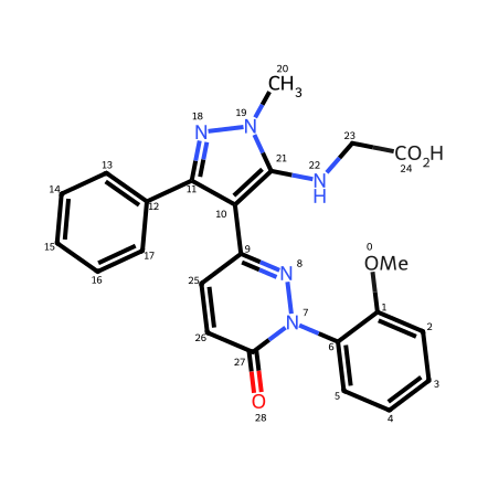 COc1ccccc1-n1nc(-c2c(-c3ccccc3)nn(C)c2NCC(=O)O)ccc1=O